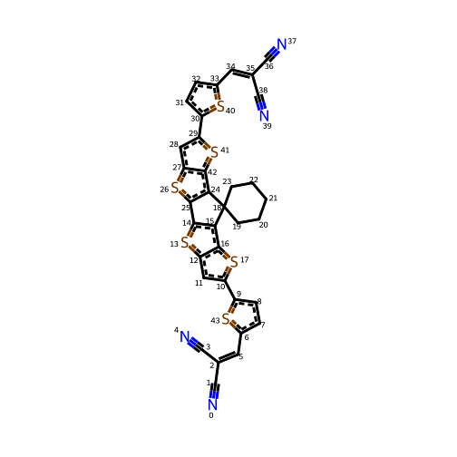 N#CC(C#N)=Cc1ccc(-c2cc3sc4c(c3s2)C2(CCCCC2)c2c-4sc3cc(-c4ccc(C=C(C#N)C#N)s4)sc23)s1